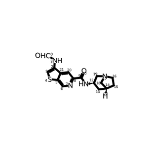 O=CNc1csc2cnc(C(=O)N[C@@H]3C[C@H]4CCN(C4)C3)cc12